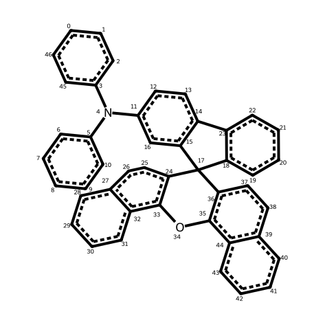 c1ccc(N(c2ccccc2)c2ccc3c(c2)C2(c4ccccc4-3)c3ccc4ccccc4c3Oc3c2ccc2ccccc32)cc1